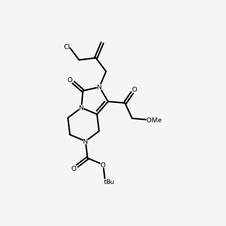 C=C(CCl)Cn1c(C(=O)COC)c2n(c1=O)CCN(C(=O)OC(C)(C)C)C2